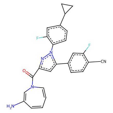 N#Cc1ccc(-c2cc(C(=O)N3C=CC=CC(N)=C3)nn2-c2ccc(C3CC3)cc2F)cc1F